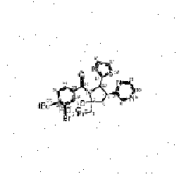 CC(C)C[C@]1(OC(=O)O)C[C@H](c2cnccn2)[C@H](c2nccs2)N1C(=O)c1ccc(C(C)(C)C)c(Br)c1